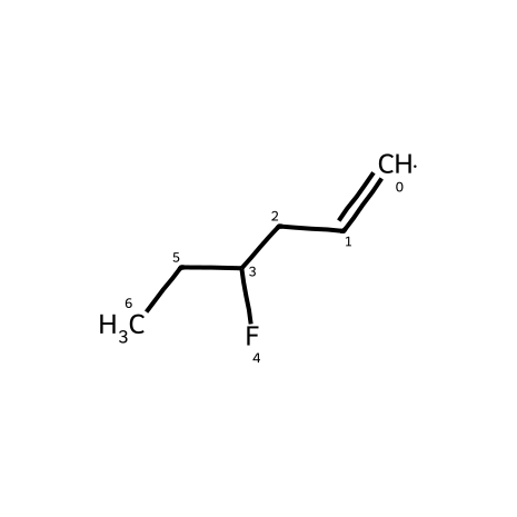 [CH]=CCC(F)CC